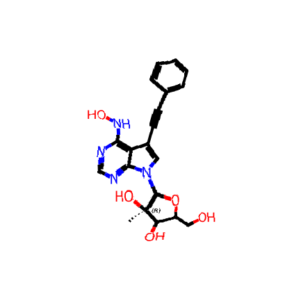 C[C@@]1(O)C(O)C(CO)OC1n1cc(C#Cc2ccccc2)c2c(NO)ncnc21